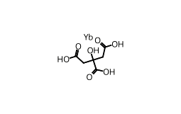 O=C(O)CC(O)(CC(=O)O)C(=O)O.[Yb]